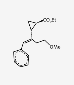 CCOC(=O)[C@@H]1C[C@H]1/C(=C/c1ccccc1)CCOC